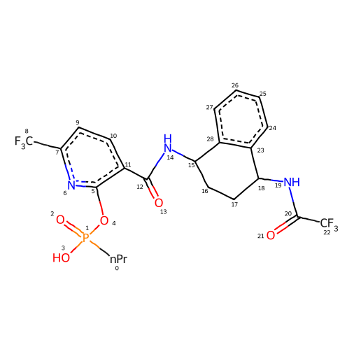 CCCP(=O)(O)Oc1nc(C(F)(F)F)ccc1C(=O)NC1CCC(NC(=O)C(F)(F)F)c2ccccc21